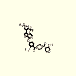 Cc1cc(Oc2nccn3c(-c4cn(C)nc4C(F)(F)F)cnc23)ccc1C(=O)N1CCN(C(=O)[C@H]2CCOC[C@H]2O)CC1